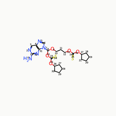 Nc1ncc2ncn(C(OCCCOC(=S)OC3CCCC3)OC(=S)OC3CCCC3)c2n1